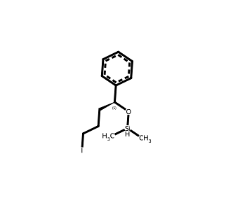 C[SiH](C)O[C@@H](CCCI)c1ccccc1